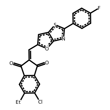 CCc1cc2c(cc1Cl)C(=O)/C(=C\c1cc3sc(-c4ccc(F)cc4)nc3o1)C2=O